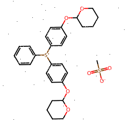 CS(=O)(=O)[O-].c1ccc([S+](c2ccc(OC3CCCCO3)cc2)c2ccc(OC3CCCCO3)cc2)cc1